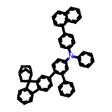 c1ccc(-c2cc(N(c3ccccc3)c3ccc(-c4cccc5ccccc45)cc3)ccc2-c2ccc3c(c2)C2(CC4CCC2C4)c2ccccc2-3)cc1